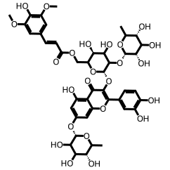 COc1cc(/C=C/C(=O)OCC2O[C@@H](Oc3c(-c4ccc(O)c(O)c4)oc4cc(O[C@@H]5OC(C)[C@H](O)C(O)C5O)cc(O)c4c3=O)C(O[C@@H]3OC(C)[C@H](O)C(O)[C@@H]3O)C(O)[C@@H]2O)cc(OC)c1O